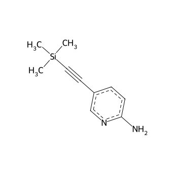 C[Si](C)(C)C#Cc1ccc(N)nc1